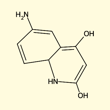 NC1=CC2=C(O)C=C(O)NC2C=C1